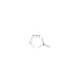 O=c1[nH]cco1.[SeH2]